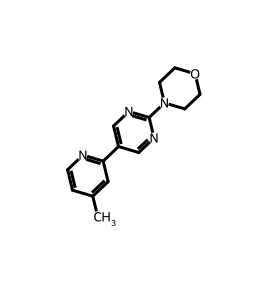 Cc1ccnc(-c2cnc(N3CCOCC3)nc2)c1